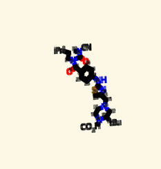 CC(C)CCN(C(=O)c1ccc(Nc2nc(CN3CCN(C(=O)O)C(C(C)(C)C)C3)cs2)cc1)C(=O)N(C)C#N